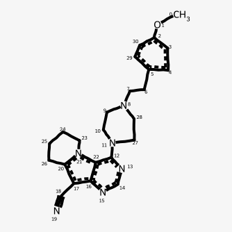 COc1ccc(CCN2CCN(c3ncnc4c(C#N)c5n(c34)CCCC5)CC2)cc1